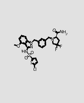 COc1cccc2c1c(NS(=O)(=O)c1ccc(Cl)s1)nn2Cc1cccc(CN2CC(F)(F)C[C@@H]2C(N)=O)c1